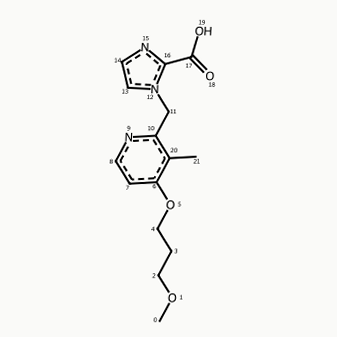 COCCCOc1ccnc(Cn2ccnc2C(=O)O)c1C